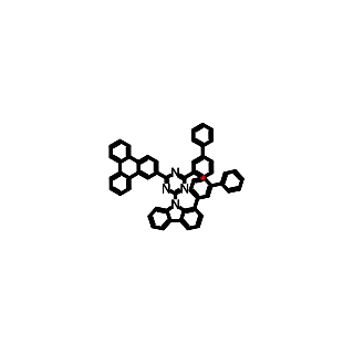 c1ccc(-c2cccc(-c3nc(-c4ccc5c6ccccc6c6ccccc6c5c4)nc(-n4c5ccccc5c5cccc(-c6cccc(-c7ccccc7)c6)c54)n3)c2)cc1